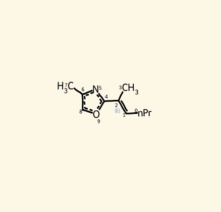 CCC/C=C(\C)c1nc(C)co1